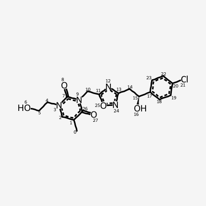 Cc1cn(CCO)c(=O)n(Cc2nc(C[C@H](O)c3ccc(Cl)cc3)no2)c1=O